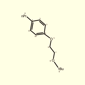 CCCc1ccc(OCCOC(C)(C)C)cc1